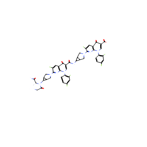 C[C@H](N)C(=O)N(C1C2CN(c3nc4c(cc3F)c(=O)c(C(=O)NC3C5CN(c6nc7c(cc6F)c(=O)c(C(=O)O)cn7-c6ccc(F)cc6F)CC53)cn4-c3ccc(F)cc3F)CC21)[C@@H](C)C(N)=O